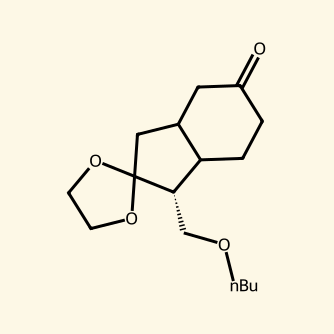 CCCCOC[C@H]1C2CCC(=O)CC2CC12OCCO2